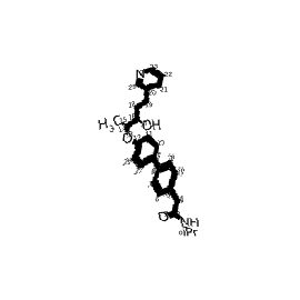 CC(C)NC(=O)Cc1ccc(-c2ccc(O[C@@H](C)[C@H](O)CCc3cccnc3)cc2)cc1